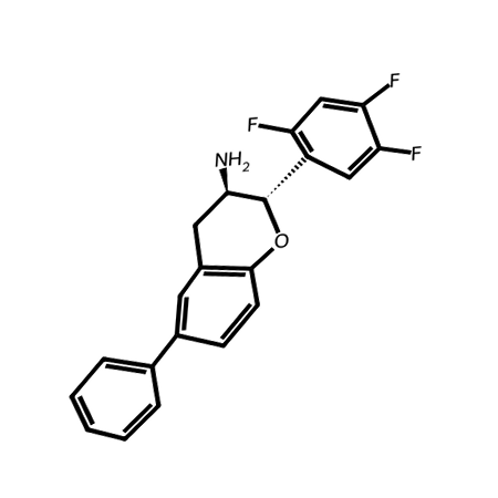 N[C@@H]1Cc2cc(-c3ccccc3)ccc2O[C@H]1c1cc(F)c(F)cc1F